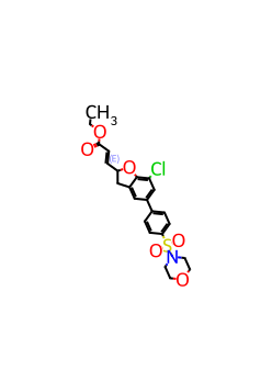 CCOC(=O)/C=C/C1Cc2cc(-c3ccc(S(=O)(=O)N4CCOCC4)cc3)cc(Cl)c2O1